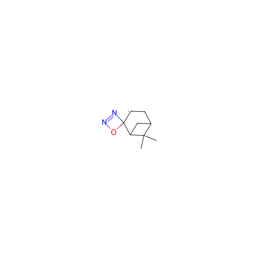 CC1(C)C2C[CH]C3(N=NO3)C1C2